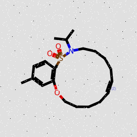 Cc1ccc2c(c1)OCCCC/C=C\CCCCN(C(C)C)S2(=O)=O